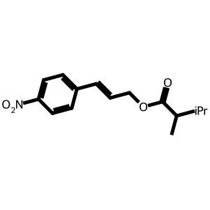 CC(C)C(C)C(=O)OCC=Cc1ccc([N+](=O)[O-])cc1